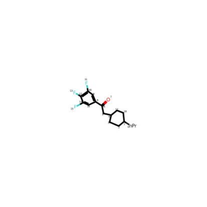 CCCC1CCC(CC(=O)c2cc(F)c(F)c(F)c2)CC1